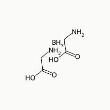 B.NCC(=O)O.NCC(=O)O